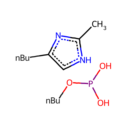 CCCCOP(O)O.CCCCc1c[nH]c(C)n1